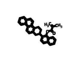 C=C(C)C(=O)Oc1c(C2CCc3c(ccc4c3ccc3ccccc34)C2)ccc2ccccc12